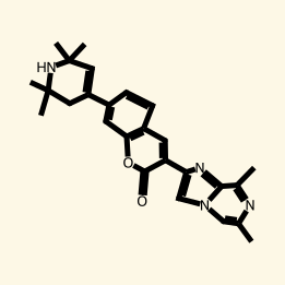 Cc1cn2cc(-c3cc4ccc(C5=CC(C)(C)NC(C)(C)C5)cc4oc3=O)nc2c(C)n1